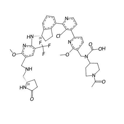 COc1nc(-c2ccnc(-c3cccc4c3CC[C@@H]4Nc3nc(OC)c(CNC[C@@H]4CCC(=O)N4)cc3C(F)(F)F)c2Cl)ccc1CN(C(=O)O)C1CCN(C(C)=O)CC1